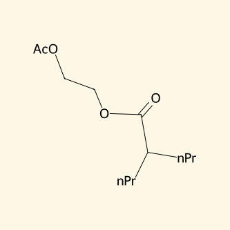 CCCC(CCC)C(=O)OCCOC(C)=O